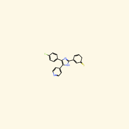 Fc1ccc(-c2nc(C3=CC(=S)CC=C3)[nH]c2-c2ccncc2)cc1